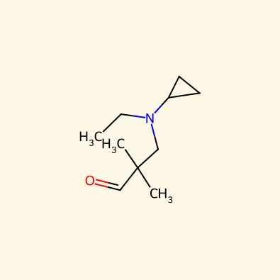 CCN(CC(C)(C)C=O)C1CC1